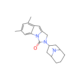 Cc1cc(C)c2cc3n(c2c1)C(=O)N(C1CC2CCCC(C1)N2C)C3